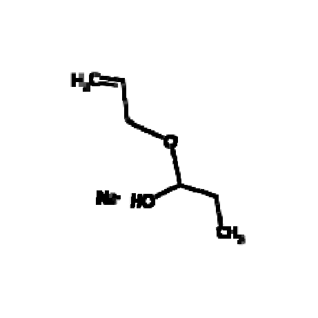 C=CCOC(O)CC.[Na]